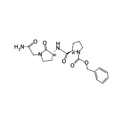 NC(=O)CN1CC[C@@H](NC(=O)[C@H]2CCCN2C(=O)OCc2ccccc2)C1=O